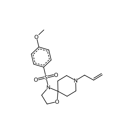 C=CCN1CCC2(CC1)OCCN2S(=O)(=O)c1ccc(OC)cc1